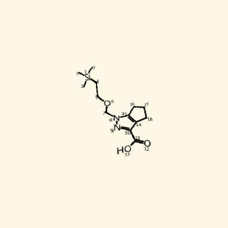 C[Si](C)(C)CCOCn1nc(C(=O)O)c2c1CCC2